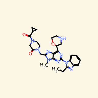 CCc1nc2ccccc2n1-c1nc(C2CNCCO2)c2nc(CN3CCN(C(=O)C4CC4)CC3=O)n(C)c2n1